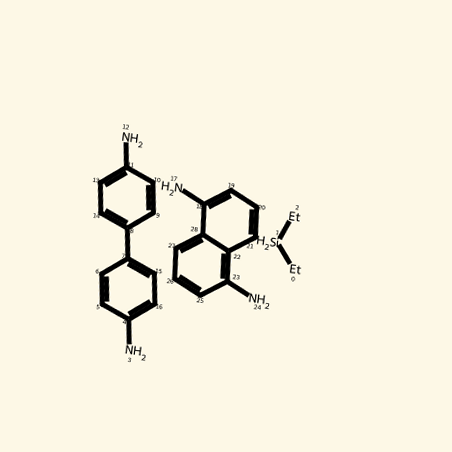 CC[SiH2]CC.Nc1ccc(-c2ccc(N)cc2)cc1.Nc1cccc2c(N)cccc12